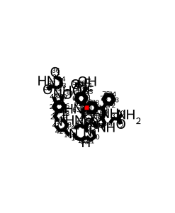 NC(=O)CC[C@H](NC(=O)[C@@H]1CC[C@@H]2CCN(CC3CCN(Cc4cc5c(cc4F)C(=O)N(C4CCC(=O)NC4=O)C5)CC3)C[C@H](NC(=O)c3cc4cc(C(F)(F)P(=O)(O)O)ccc4[nH]3)C(=O)N21)C(=O)NC(c1ccccc1)c1ccccc1